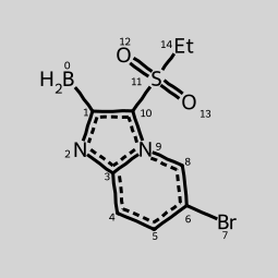 Bc1nc2ccc(Br)cn2c1S(=O)(=O)CC